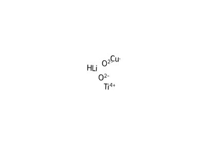 [Cu].[LiH].[O-2].[O-2].[Ti+4]